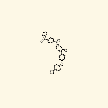 O=C(c1ccc(C(=O)N2CCN(c3ccc(OC4CCN(C5CCC5)CC4)cc3)C(=O)C2)cc1)N1CCCC1